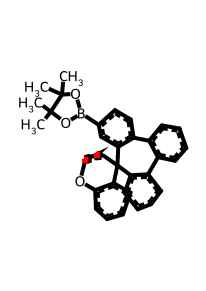 CC1(C)OB(c2ccc3c(c2)C2(c4ccccc4Oc4ccccc42)c2ccccc2-c2ccccc2-3)OC1(C)C